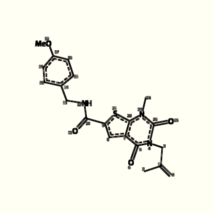 C=C(C)Cn1c(=O)c2cc(C(=O)NCc3ccc(OC)cc3)sc2n(C)c1=O